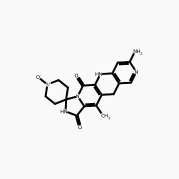 Cc1c2c(c(=O)n3c1C(=O)NC31CC[S+]([O-])CC1)Nc1cc(N)ncc1C2